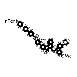 CCCCC[C@H]1CC[C@H](c2ccc(-c3ccc(C(=O)Nc4ccc(-c5ccc6c(c5)-c5c(c7c(c8ccccc58)OC(c5ccc(OC)cc5)(c5ccc(N8CCOCC8)cc5)C=C7)C6(C)C)c(C(F)(F)F)c4)cc3)cc2)CC1